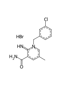 Br.Cc1cc(C(N)=O)c(=N)n(Cc2cccc(Cl)c2)c1